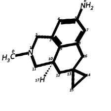 CN1Cc2cc(N)cc3c2[C@H](C1)CC1(CC1)C3